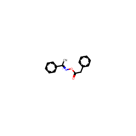 N#C/C(=N\OC(=O)Cc1ccccc1)c1ccccc1